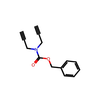 C#CCN(CC#C)C(=O)OCc1ccccc1